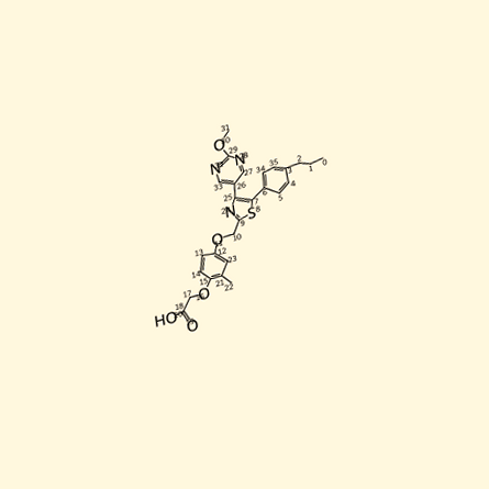 CCCc1ccc(-c2sc(COc3ccc(OCC(=O)O)c(C)c3)nc2-c2cnc(OC)nc2)cc1